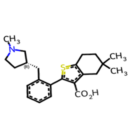 CN1CC[C@@H](Cc2ccccc2-c2sc3c(c2C(=O)O)CC(C)(C)CC3)C1